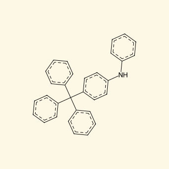 c1ccc(Nc2ccc(C(c3ccccc3)(c3ccccc3)c3ccccc3)cc2)cc1